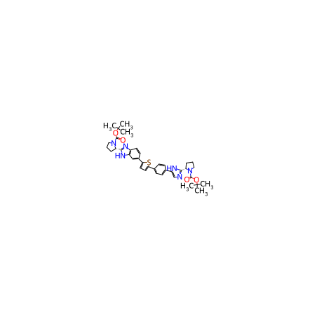 CC(C)(C)OC(=O)N1CCC[C@H]1c1ncc(-c2ccc(-c3ccc(-c4ccc5nc([C@@H]6CCCN6C(=O)OC(C)(C)C)[nH]c5c4)s3)cc2)[nH]1